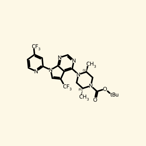 C[C@@H]1CN(c2ncnc3c2c(C(F)(F)F)cn3-c2cc(C(F)(F)F)ccn2)[C@@H](C)CN1C(=O)OC(C)(C)C